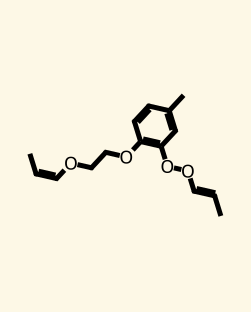 C/C=C\OCCOc1ccc(C)cc1OO/C=C/C